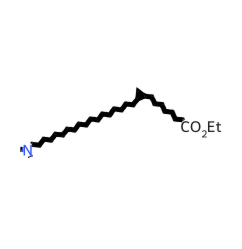 CCOC(=O)CCCCCCCC1CC1CCCCCCCCCCCCCCCCCCN(C)C